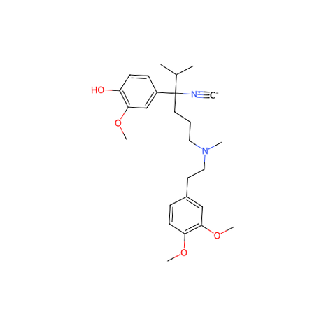 [C-]#[N+]C(CCCN(C)CCc1ccc(OC)c(OC)c1)(c1ccc(O)c(OC)c1)C(C)C